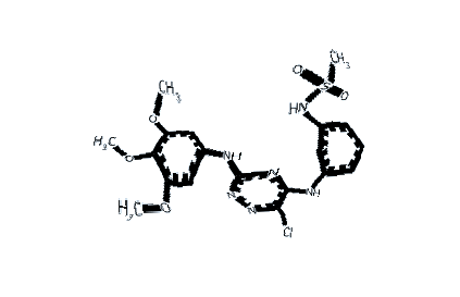 COc1cc(Nc2nnc(Cl)c(Nc3cccc(NS(C)(=O)=O)c3)n2)cc(OC)c1OC